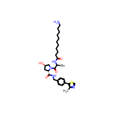 Cc1ncsc1-c1ccc(CNC(=O)[C@@H]2C[C@@H](O)CN2C(=O)C(NC(=O)CCCCCCCCCCN)C(C)(C)C)cc1